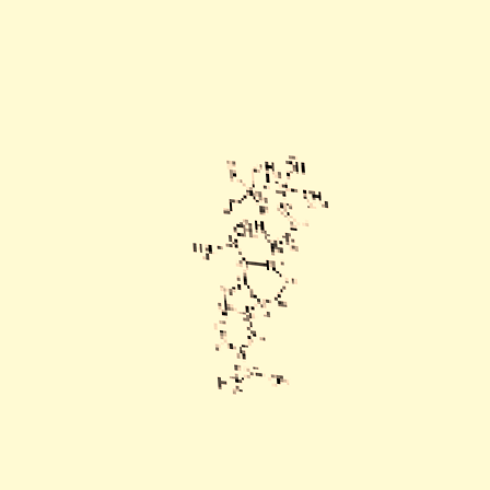 CC(C)C1c2cc3ccc([S+](C)[O-])cc3n2CCN1c1ncc(C(C)(C)O)c(C(F)(F)F)n1